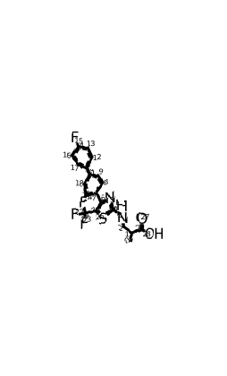 CC(CNc1nc(-c2ccc(-c3ccc(F)cc3)cc2)c(C(F)(F)F)s1)C(=O)O